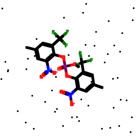 COP(=O)(Oc1c([N+](=O)[O-])cc(C)cc1C(F)(F)F)Oc1c([N+](=O)[O-])cc(C)cc1C(F)(F)F